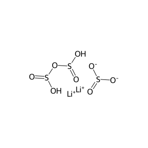 O=S(O)OS(=O)O.O=S([O-])[O-].[Li+].[Li+]